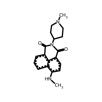 CNc1ccc2c3c(cccc13)C(=O)N(C1CCN(C)CC1)C2=O